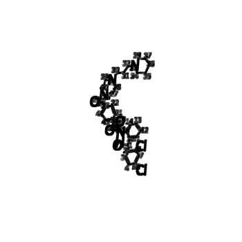 O=C(c1ccc(Cl)cc1Cl)c1ccccc1NS(=O)(=O)c1ccc(C(=O)N2CCN(CCCN3CCCCC3)CC2)cc1